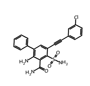 NC(=O)c1c(N)c(-c2ccccc2)cc(C#Cc2cccc(Cl)c2)c1S(N)(=O)=O